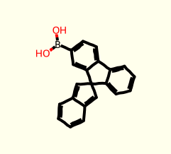 OB(O)c1ccc2c(c1)C1(C=c3ccccc3=C1)c1ccccc1-2